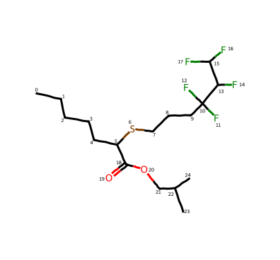 CCCCCC(SCCCC(F)(F)C(F)C(F)F)C(=O)OCC(C)C